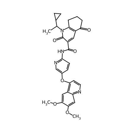 COc1cc2nccc(Oc3ccc(NC(=O)c4cc5c(n(C(C)C6CC6)c4=O)CCCC5=O)nc3)c2cc1OC